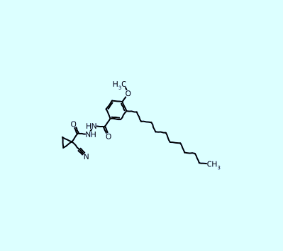 CCCCCCCCCCCc1cc(C(=O)NNC(=O)C2(C#N)CC2)ccc1OC